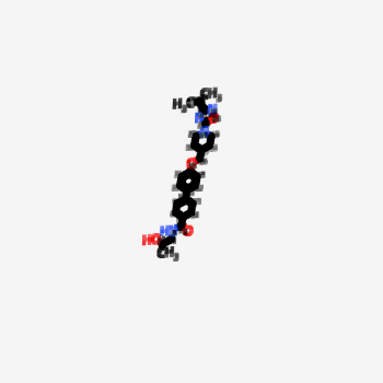 CC(O)CNC(=O)C1CC=C(c2ccc(OCC3CCN(c4nc(C(C)C)no4)CC3)cc2)CC1